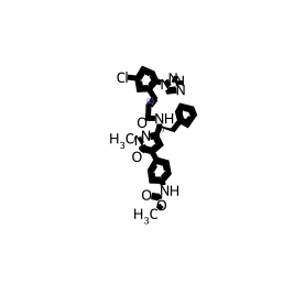 COC(=O)Nc1ccc(-c2cc([C@H](Cc3ccccc3)NC(=O)/C=C/c3cc(Cl)ccc3-n3cnnn3)nn(C)c2=O)cc1